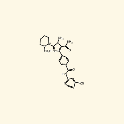 N#Cc1ccnc(NC(=O)c2ccc(-c3nc([C@@H]4CCCCN4C(=O)O)n(N)c3C(N)=O)cc2)c1